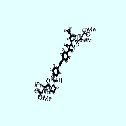 COC(=O)N[C@H](C(=O)N1CC(C2CC2)=C[C@H]1c1ncc(-c2ccc(C#Cc3ccc4nc([C@@H]5CCCN5C(=O)[C@@H](NC(=O)OC)C(C)C)[nH]c4c3)cc2)[nH]1)C(C)C